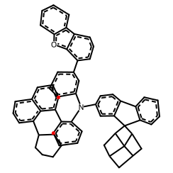 c1cc(-c2cccc3c2oc2ccccc23)cc(N(c2ccc3c(c2)C2(c4ccccc4-3)C3CC4CC5CC2C453)c2ccccc2-c2cccc3cccc(C4CCCCC4)c23)c1